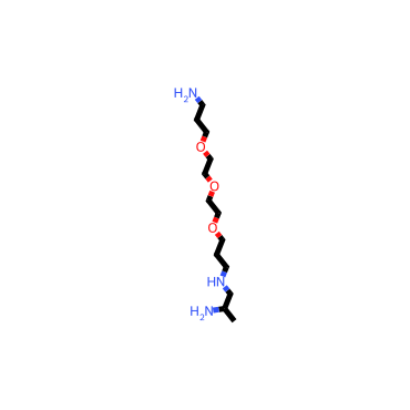 CC(N)CNCCCOCCOCCOCCCN